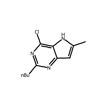 CCCCc1nc(Cl)c2[nH]c(C)cc2n1